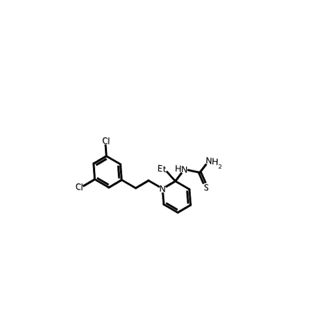 CCC1(NC(N)=S)C=CC=CN1CCc1cc(Cl)cc(Cl)c1